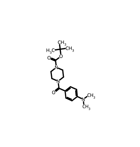 CN(C)c1ccc(C(=O)N2CCN(C(=O)OC(C)(C)C)CC2)cc1